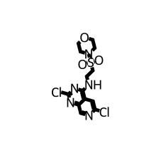 O=S(=O)(CCNc1nc(Cl)nc2cnc(Cl)cc12)N1CCOCC1